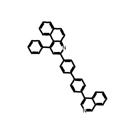 c1ccc(-c2cc(-c3ccc(-c4ccc(-c5cncc6ccccc56)cc4)cc3)nc3ccc4ccccc4c23)cc1